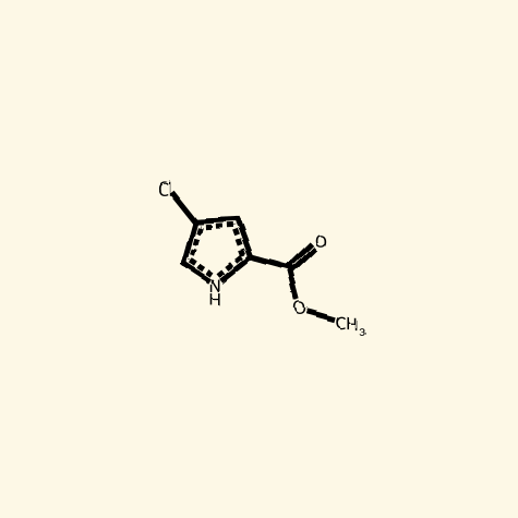 COC(=O)c1cc(Cl)c[nH]1